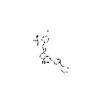 Fc1ccc(COn2ccc3ncc(-c4cnn(C5CCNCC5)c4)cc32)c(C(F)(F)F)c1